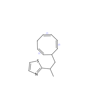 CC(CC1/C=C\C=C/C/C=C\1)c1nccs1